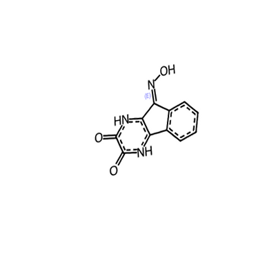 O=c1[nH]c2c([nH]c1=O)-c1ccccc1/C2=N\O